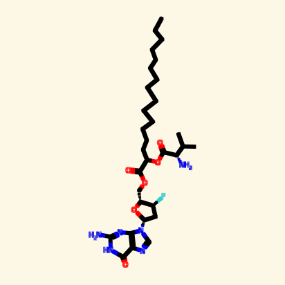 CCCCCCCCCCCCCCC(OC(=O)[C@@H](N)C(C)C)C(=O)OC[C@H]1O[C@@H](n2cnc3c(=O)[nH]c(N)nc32)C[C@@H]1F